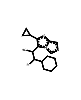 CCC(C1CCCCC1)C(O)c1c(C2CC2)sc2cncn12